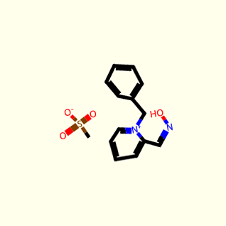 CS(=O)(=O)[O-].O/N=C\c1cccc[n+]1Cc1ccccc1